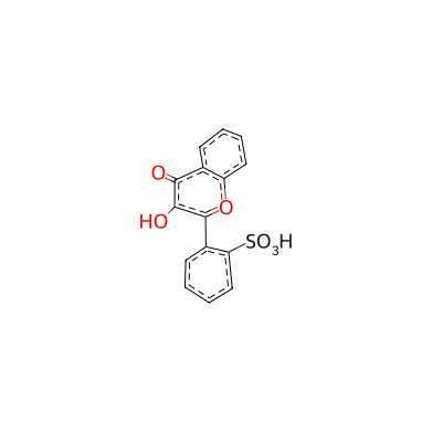 O=c1c(O)c(-c2ccccc2S(=O)(=O)O)oc2ccccc12